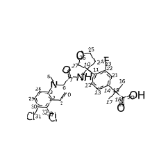 C=Cc1c(N(C)CC(=O)NC2(c3ccc(C(C)(C)C(=O)O)cc3F)CCOC2)ccc(Cl)c1Cl